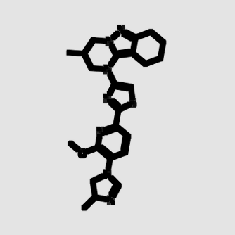 COc1nc(-c2nc(N3CC(C)Cn4nc5c(c43)CCCC5)cs2)ccc1N1C=NC(C)C1